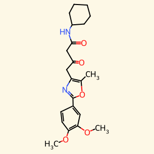 COc1ccc(-c2nc(CC(=O)CC(=O)NC3CCCCC3)c(C)o2)cc1OC